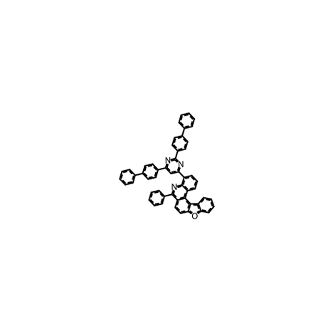 c1ccc(-c2ccc(-c3cc(-c4cccc5c4nc(-c4ccccc4)c4ccc6oc7ccccc7c6c45)nc(-c4ccc(-c5ccccc5)cc4)n3)cc2)cc1